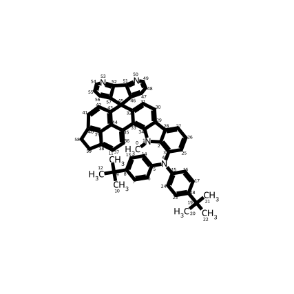 Cn1c2c(N(c3ccc(C(C)(C)C)cc3)c3ccc(C(C)(C)C)cc3)cccc2c2ccc3c(c21)-c1ccc2c4c(ccc(c14)C31c3cccnc3-c3ncccc31)CC2